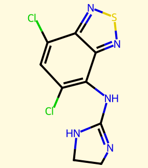 Clc1cc(Cl)c2nsnc2c1NC1=NCCN1